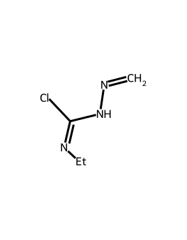 C=NN/C(Cl)=N\CC